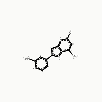 CC(=O)Nc1cc(-c2cc3nc(Cl)cc(C(=O)O)c3[nH]2)ccn1